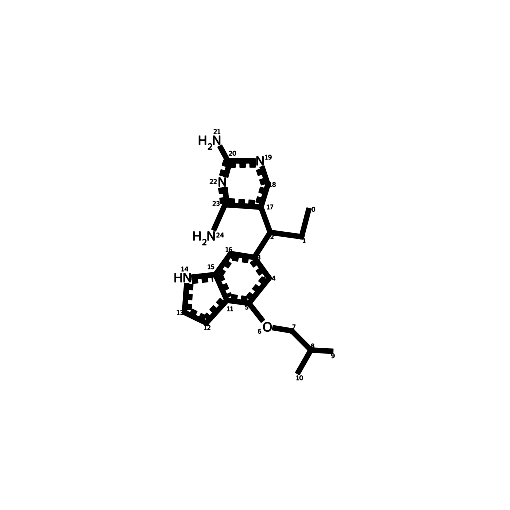 CCC(c1cc(OCC(C)C)c2cc[nH]c2c1)c1cnc(N)nc1N